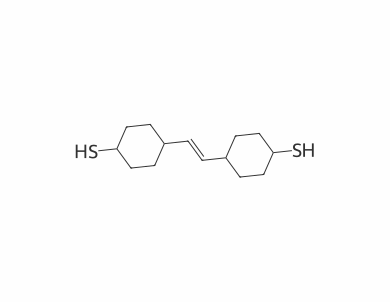 SC1CCC(/C=C/C2CCC(S)CC2)CC1